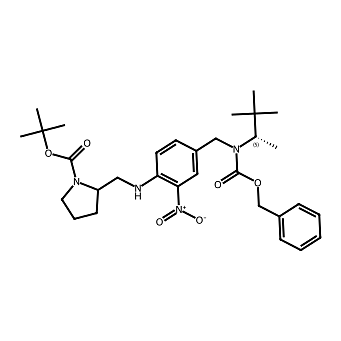 C[C@H](N(Cc1ccc(NCC2CCCN2C(=O)OC(C)(C)C)c([N+](=O)[O-])c1)C(=O)OCc1ccccc1)C(C)(C)C